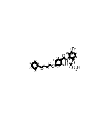 CC(C)c1ccc(OCC(=O)O)c(NC(=O)c2ccc(OCCCCc3ccccc3)cc2)c1